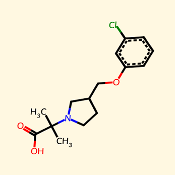 CC(C)(C(=O)O)N1CCC(COc2cccc(Cl)c2)C1